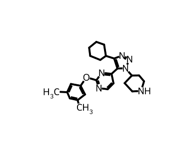 Cc1cc(C)cc(Oc2nccc(-c3c(C4CCCCC4)nnn3C3CCNCC3)n2)c1